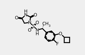 C[C@@H](NS(=O)(=O)N1CC(=O)NC1=O)c1ccc(F)c(OC2CCC2)c1